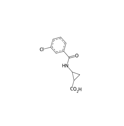 O=C(NC1CC1C(=O)O)c1cccc(Cl)c1